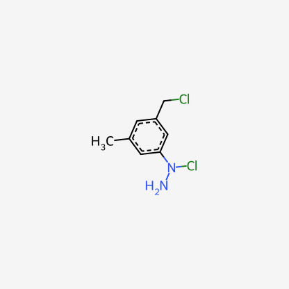 Cc1cc(CCl)cc(N(N)Cl)c1